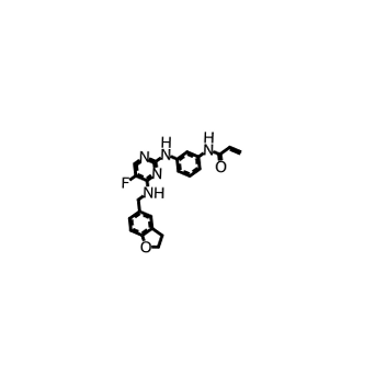 C=CC(=O)Nc1cccc(Nc2ncc(F)c(NCc3ccc4c(c3)CCO4)n2)c1